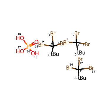 CC(C)(C)C(Br)(Br)Br.CC(C)(C)C(Br)(Br)Br.CC(C)(C)C(Br)(Br)Br.O=P(O)(O)O